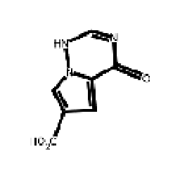 O=C(O)c1cc2c(=O)nc[nH]n2c1